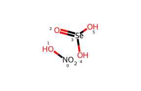 O=[N+]([O-])O.O=[Se](O)O